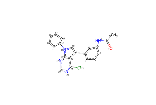 CC(=O)Nc1cccc(-c2cn(-c3ccccc3)c3ncnc(Cl)c23)c1